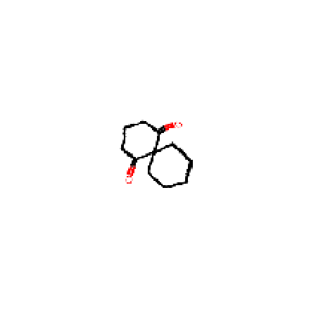 O=C1CCCC(=O)C12CCCCC2